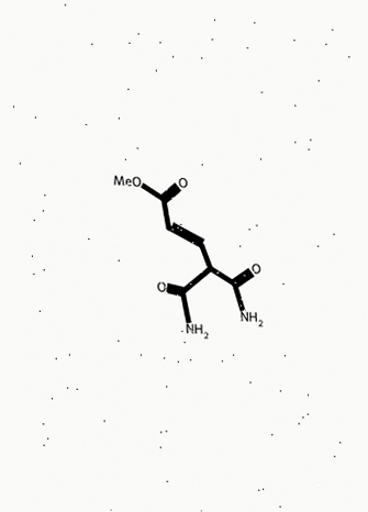 COC(=O)C=CC(C(N)=O)C(N)=O